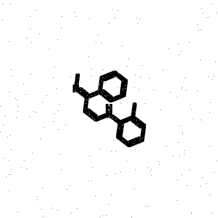 C/N=C(/C=C\Nc1ccccc1C)c1ccccc1